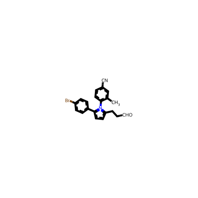 Cc1cc(C#N)ccc1-n1c(CCC=O)ccc1-c1ccc(Br)cc1